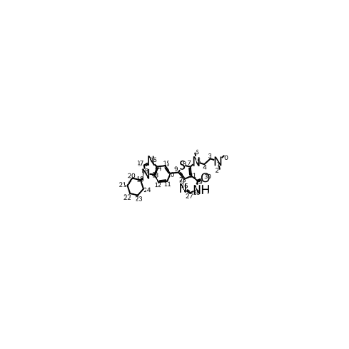 CN(C)CCN(C)c1sc(-c2ccc3c(c2)ncn3C2CCCCC2)c2nc[nH]c(=O)c12